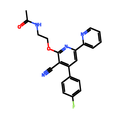 CC(=O)NCCOc1nc(-c2ccccn2)cc(-c2ccc(F)cc2)c1C#N